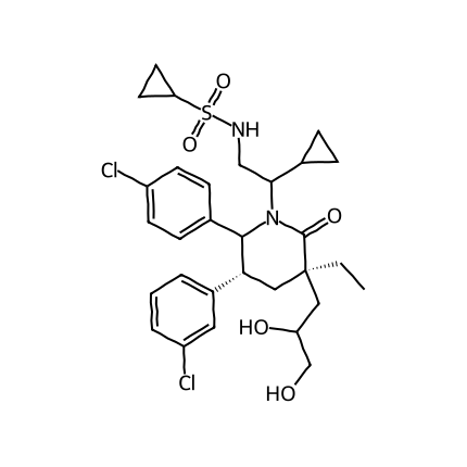 CC[C@]1(CC(O)CO)C[C@H](c2cccc(Cl)c2)C(c2ccc(Cl)cc2)N(C(CNS(=O)(=O)C2CC2)C2CC2)C1=O